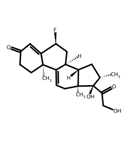 C[C@H]1C[C@H]2[C@@H]3C[C@H](F)C4=CC(=O)CC[C@]4(C)C3=CC[C@]2(C)[C@@]1(O)C(=O)CO